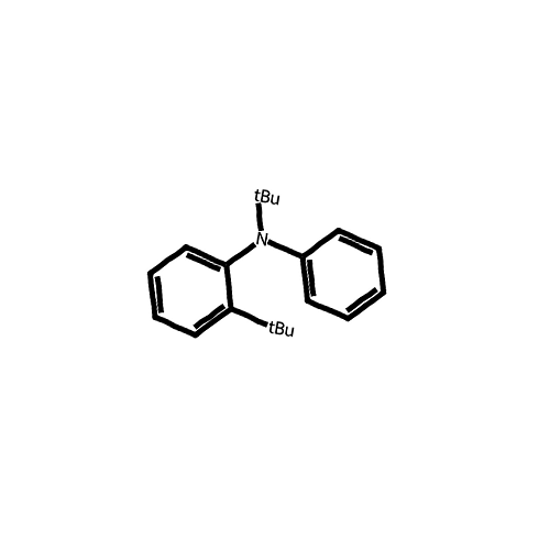 CC(C)(C)c1ccccc1N(c1ccccc1)C(C)(C)C